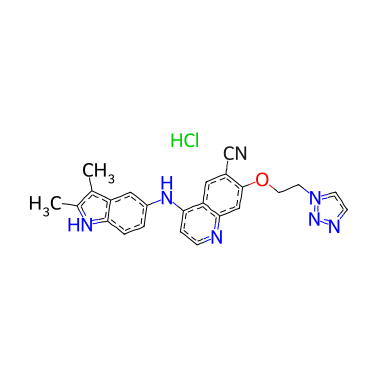 Cc1[nH]c2ccc(Nc3ccnc4cc(OCCn5ccnn5)c(C#N)cc34)cc2c1C.Cl